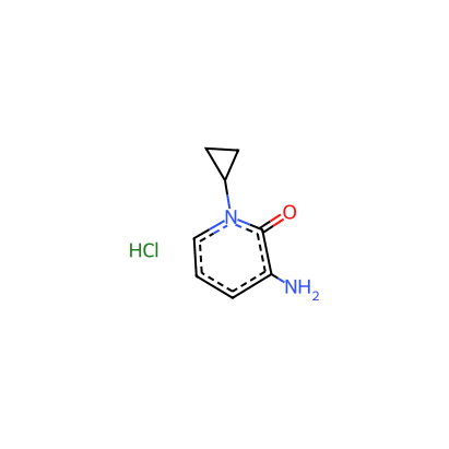 Cl.Nc1cccn(C2CC2)c1=O